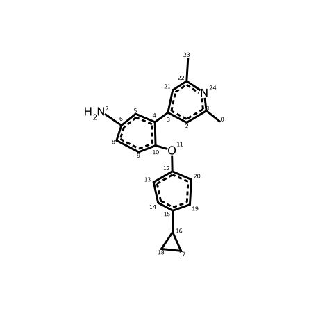 Cc1cc(-c2cc(N)ccc2Oc2ccc(C3CC3)cc2)cc(C)n1